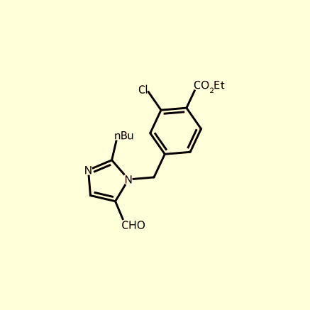 CCCCc1ncc(C=O)n1Cc1ccc(C(=O)OCC)c(Cl)c1